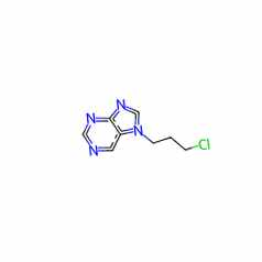 ClCCCn1cnc2ncncc21